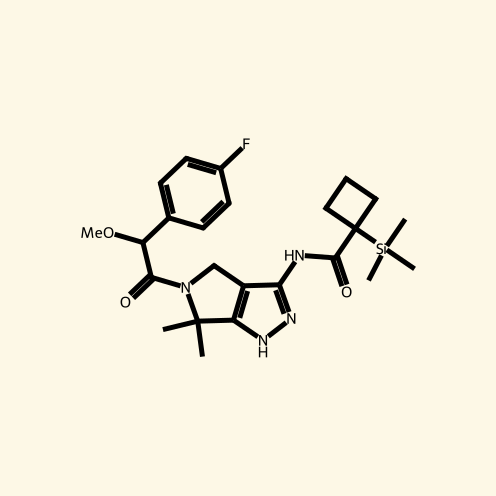 COC(C(=O)N1Cc2c(NC(=O)C3([Si](C)(C)C)CCC3)n[nH]c2C1(C)C)c1ccc(F)cc1